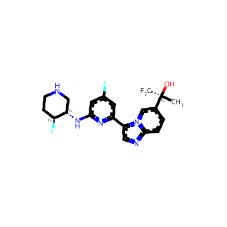 C[C@](O)(c1ccc2ncc(-c3cc(F)cc(N[C@H]4CNCC[C@@H]4F)n3)n2c1)C(F)(F)F